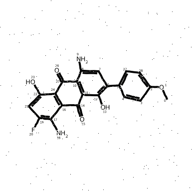 COc1ccc(-c2cc(N)c3c(c2O)C(=O)c2c(N)c(F)cc(O)c2C3=O)cc1